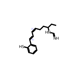 CCC(CC/C=C\C=C\c1ccccc1S)NC=N